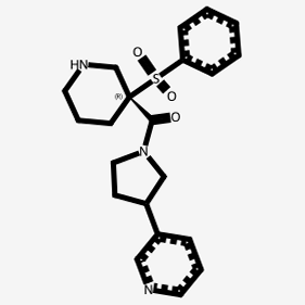 O=C(N1CCC(c2cccnc2)C1)[C@@]1(S(=O)(=O)c2ccccc2)CCCNC1